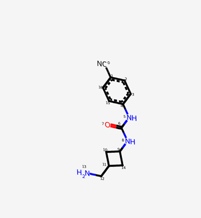 N#Cc1ccc(NC(=O)NC2CC(CN)C2)cc1